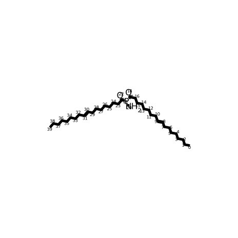 CCCCCCCCC=CCCCCCCCC(=O)P(N)C(=O)CCCCCCCC=CCCCCCCCC